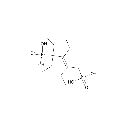 CC/C(CP(=O)(O)O)=C(/CC)C(CC)(CC)P(=O)(O)O